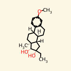 CC[C@]1(O)C[C@H]2[C@@H]3CCc4cc(OC)ccc4[C@H]3CC[C@]2(C)[C@H]1O